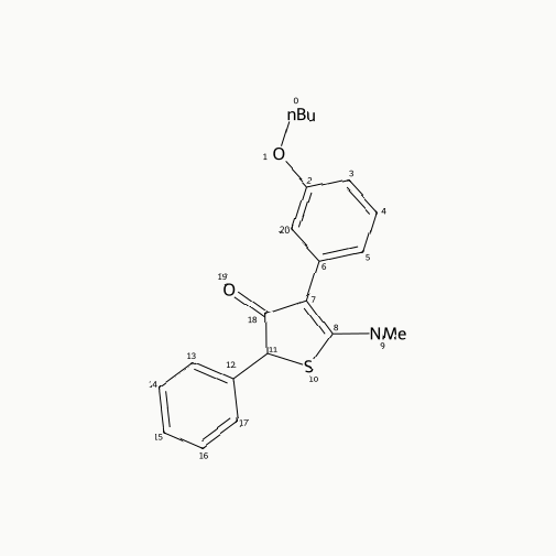 CCCCOc1cccc(C2=C(NC)SC(c3ccccc3)C2=O)c1